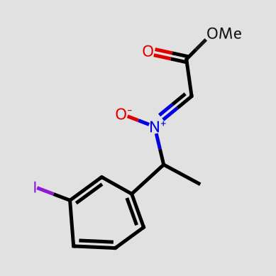 COC(=O)C=[N+]([O-])C(C)c1cccc(I)c1